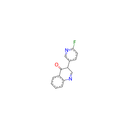 O=C1c2ccccc2N=CC1c1ccc(F)nc1